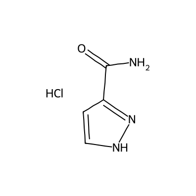 Cl.NC(=O)c1cc[nH]n1